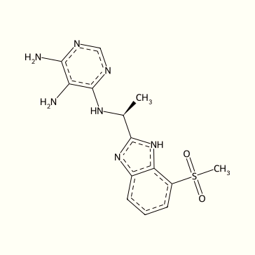 C[C@H](Nc1ncnc(N)c1N)c1nc2cccc(S(C)(=O)=O)c2[nH]1